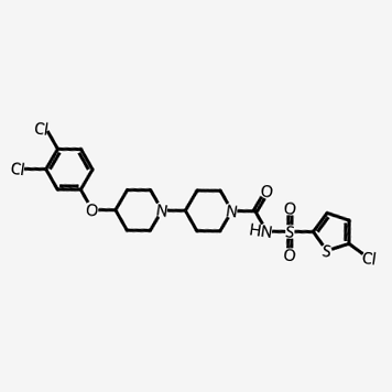 O=C(NS(=O)(=O)c1ccc(Cl)s1)N1CCC(N2CCC(Oc3ccc(Cl)c(Cl)c3)CC2)CC1